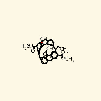 CCC1c2ccc3c(c2)C(CC)c2cc(c(C(=O)OC)cc2C3)C(CC)c2ccc3c(c2)C(CC)c2cc1c(C(=O)OC)cc2C3